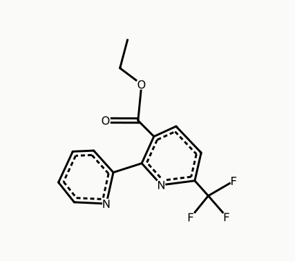 CCOC(=O)c1ccc(C(F)(F)F)nc1-c1ccccn1